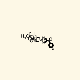 CC(C)(C)OC(=O)N1CCN(c2ncc(C(=O)c3ccc(F)cc3)cn2)CC1